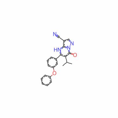 CC(C)c1c(-c2cccc(Oc3ccccc3)c2)[nH]c2c(C#N)cnn2c1=O